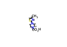 Cc1csc(N2CCN(C(=O)O)CC2)n1